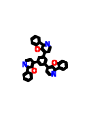 c1ccc2c(c1)oc1c(-c3cc(-c4ccnc5c4oc4ccccc45)cc(-c4ccnc5c4oc4ccccc45)c3)ccnc12